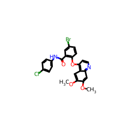 COc1cc2nccc(Oc3ccc(Br)cc3C(=O)Nc3ccc(Cl)cc3)c2cc1OC